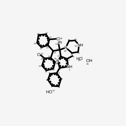 Cc1[nH]c(-c2ccccc2)nc1C(C(C)C)(C(c1ccccc1Cl)c1ccccc1Cl)N1CCNCC1.Cl.Cl.Cl